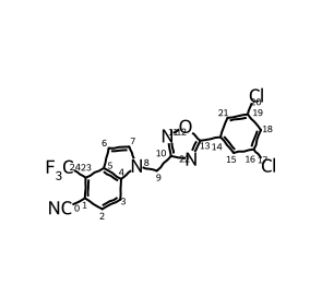 N#Cc1ccc2c(ccn2Cc2noc(-c3cc(Cl)cc(Cl)c3)n2)c1C(F)(F)F